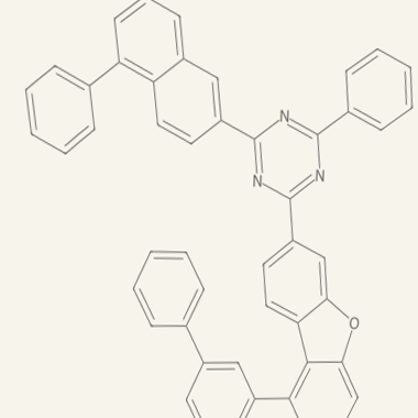 c1ccc(-c2cccc(-c3cccc4oc5cc(-c6nc(-c7ccccc7)nc(-c7ccc8c(-c9ccccc9)cccc8c7)n6)ccc5c34)c2)cc1